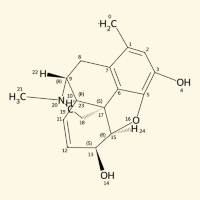 [CH2]c1cc(O)c2c3c1C[C@@H]1[C@@H]4C=C[C@H](O)[C@H](O2)[C@]34CCN1C